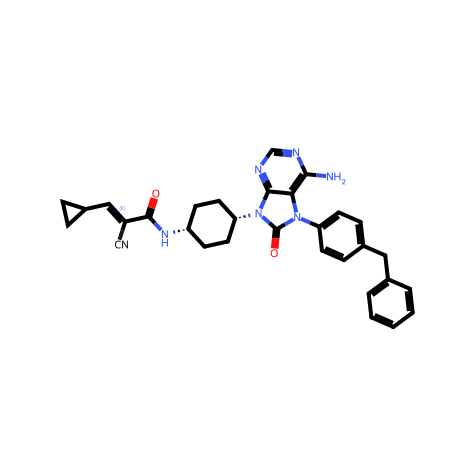 N#C/C(=C\C1CC1)C(=O)N[C@H]1CC[C@@H](n2c(=O)n(-c3ccc(Cc4ccccc4)cc3)c3c(N)ncnc32)CC1